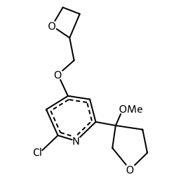 COC1(c2cc(OCC3CCO3)cc(Cl)n2)CCOC1